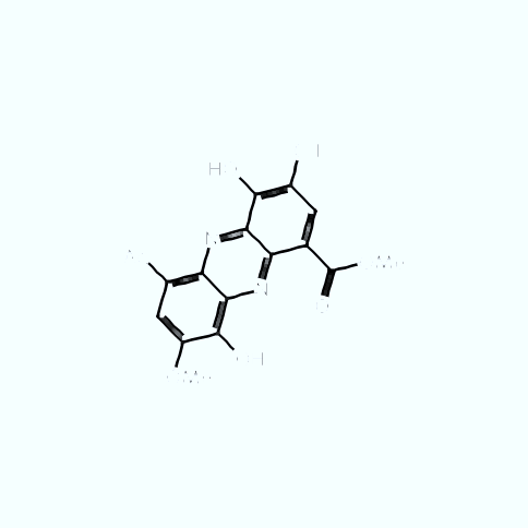 COC(=O)c1cc(C)c(O)c2nc3c(C(C)=O)cc(OC)c(O)c3nc12